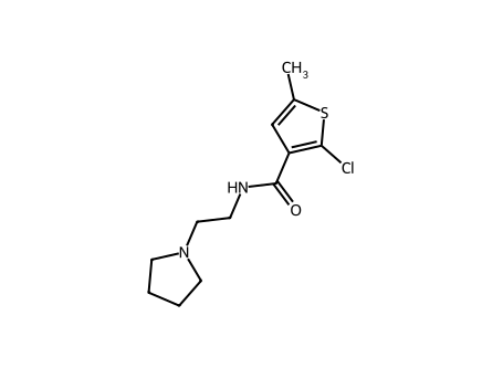 Cc1cc(C(=O)NCCN2CCCC2)c(Cl)s1